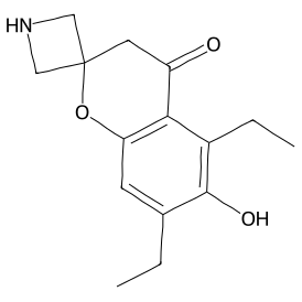 CCc1cc2c(c(CC)c1O)C(=O)CC1(CNC1)O2